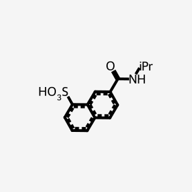 CC(C)NC(=O)c1ccc2cccc(S(=O)(=O)O)c2c1